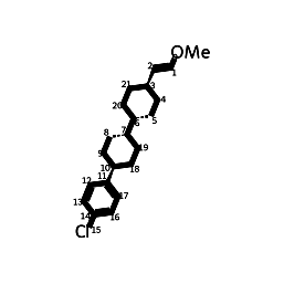 COC=C[C@H]1CC[C@H]([C@H]2CC[C@H](c3ccc(Cl)cc3)CC2)CC1